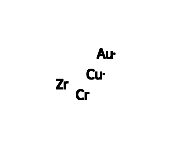 [Au].[Cr].[Cu].[Zr]